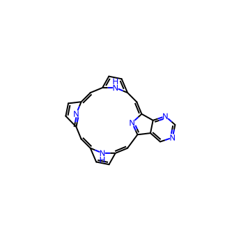 C1=Cc2cc3ccc(cc4nc(cc5ccc(cc1n2)[nH]5)-c1cncnc1-4)[nH]3